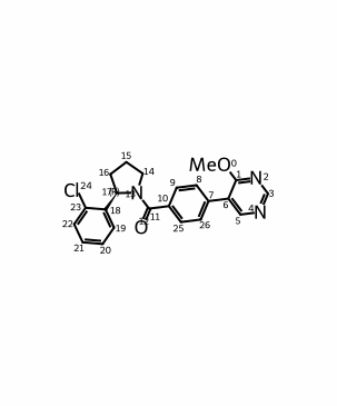 COc1ncncc1-c1ccc(C(=O)N2CCC[C@@H]2c2ccccc2Cl)cc1